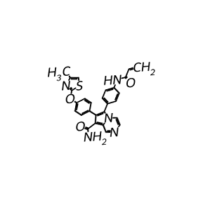 C=CC(=O)Nc1ccc(-c2c(-c3ccc(Oc4nc(C)cs4)cc3)c(C(N)=O)c3cnccn23)cc1